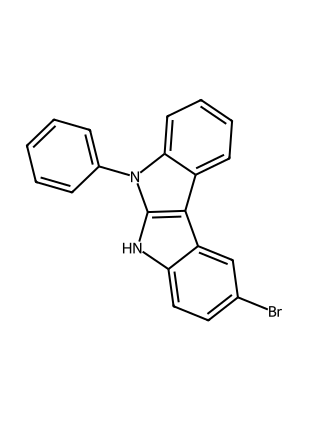 Brc1ccc2[nH]c3c(c2c1)c1ccccc1n3-c1ccccc1